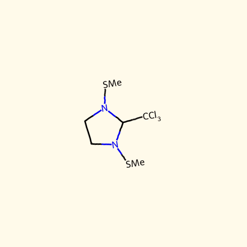 CSN1CCN(SC)C1C(Cl)(Cl)Cl